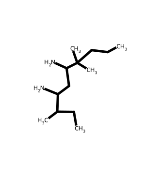 CCCC(C)(C)C(N)CC(N)C(C)CC